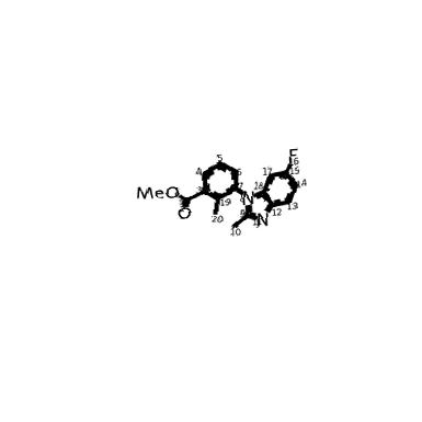 COC(=O)c1cccc(-n2c(C)nc3ccc(F)cc32)c1C